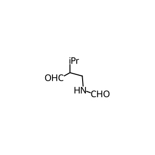 CC(C)C(C=O)CNC=O